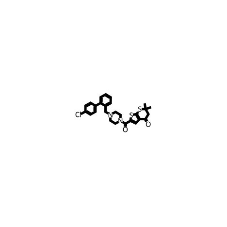 CC1(C)CC(=O)c2cc(C(=O)N3CCN(Cc4ccccc4-c4ccc(Cl)cc4)CC3)sc2S1